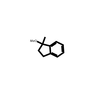 COC1(C)CCc2ccccc21